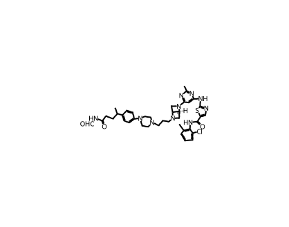 Cc1nc(Nc2ncc(C(=O)Nc3c(C)cccc3Cl)s2)cc(N2CC3[C@@H]2CN3CCCN2CCN(c3ccc(C(C)CCC(=O)NC=O)cc3)CC2)n1